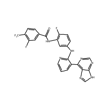 O=C(Nc1cc(Nc2ncccc2-c2ncnc3[nH]cnc23)ccc1F)c1ccc(C(F)(F)F)c(F)c1